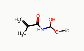 C=C(C)C(=O)NC(O)OCC